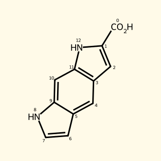 O=C(O)c1cc2cc3cc[nH]c3cc2[nH]1